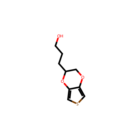 OCCCC1COc2cscc2O1